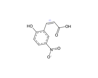 O=C(O)/C=C\c1cc([N+](=O)[O-])ccc1O